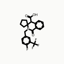 O=C(O)C1c2ccccc2C(=O)N(Cc2ccc(F)c(C(F)(F)F)c2)C12CCCC2